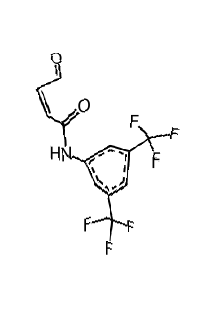 O=C/C=C\C(=O)Nc1cc(C(F)(F)F)cc(C(F)(F)F)c1